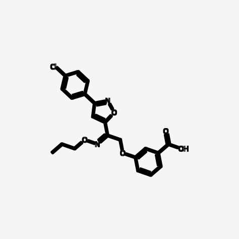 CCCON=C(COc1cccc(C(=O)O)c1)c1cc(-c2ccc(Cl)cc2)no1